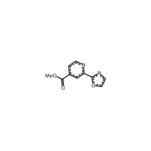 COC(=O)c1ccnc(-c2ncco2)c1